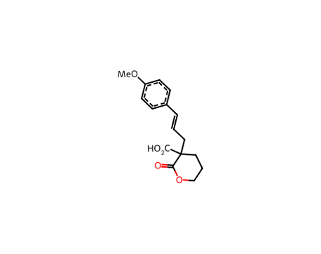 COc1ccc(C=CCC2(C(=O)O)CCCOC2=O)cc1